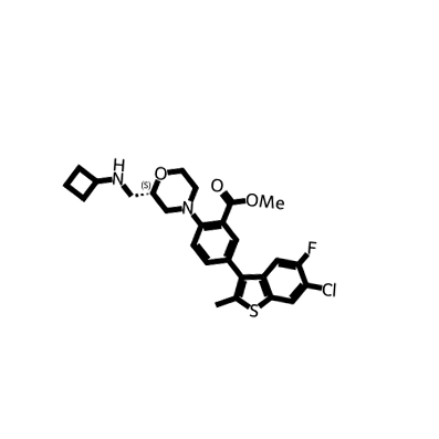 COC(=O)c1cc(-c2c(C)sc3cc(Cl)c(F)cc23)ccc1N1CCO[C@@H](CNC2CCC2)C1